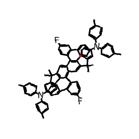 Cc1ccc(N(c2ccc(C)cc2)c2ccc3c(c2)C(C)(C)c2cc4c(-c5ccc(F)cc5-c5ccccc5)c5c(cc4c(-c4ccc(F)cc4-c4ccccc4)c2-3)C(C)(C)c2cc(N(c3ccc(C)cc3)c3ccc(C)cc3)ccc2-5)cc1